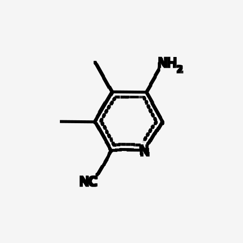 Cc1c(N)cnc(C#N)c1C